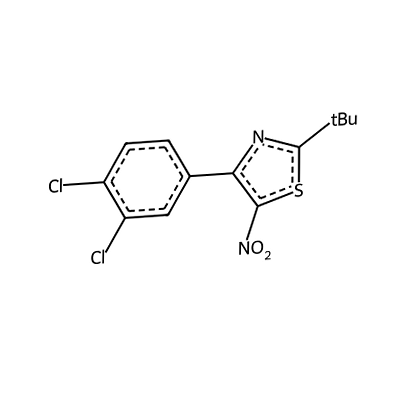 CC(C)(C)c1nc(-c2ccc(Cl)c(Cl)c2)c([N+](=O)[O-])s1